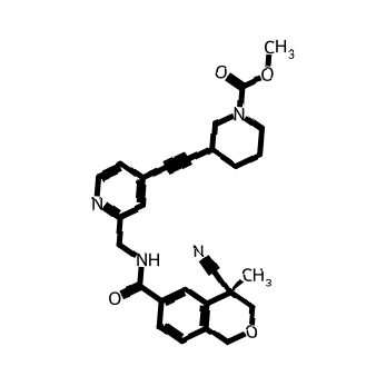 COC(=O)N1CCCC(C#Cc2ccnc(CNC(=O)c3ccc4c(c3)[C@](C)(C#N)COC4)c2)C1